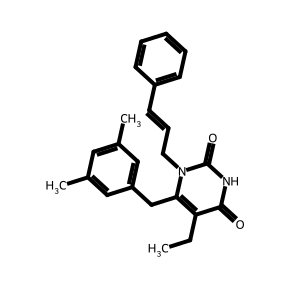 CCc1c(Cc2cc(C)cc(C)c2)n(C/C=C/c2ccccc2)c(=O)[nH]c1=O